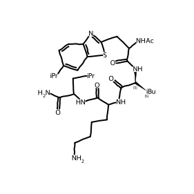 CC[C@H](C)[C@H](NC(=O)C(Cc1nc2ccc(C(C)C)cc2s1)NC(C)=O)C(=O)NC(CCCCN)C(=O)NC(CC(C)C)C(N)=O